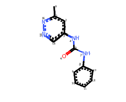 Cc1cc(NC(=O)Nc2ccccc2)cnn1